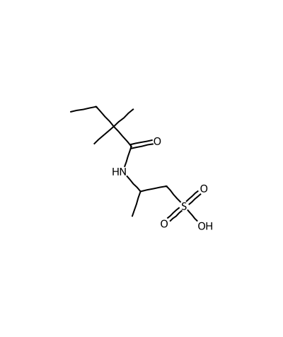 CCC(C)(C)C(=O)NC(C)CS(=O)(=O)O